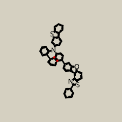 c1ccc(-c2nc3c(ccc4oc5cc(-c6ccc(N(c7ccc8c(c7)sc7ccccc78)c7ccccc7-c7ccccc7)cc6)ccc5c43)s2)cc1